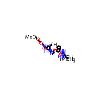 C#Cc1cc(Nc2nccc(Oc3ccc(NC(=O)Nc4cc(C(C)(C)C(C)(C)C)n[nH]4)c4ccccc34)n2)cc(C(=O)NCCOCCOCCOC)c1